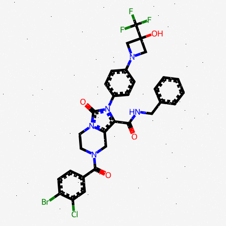 O=C(NCc1ccccc1)c1c2n(c(=O)n1-c1ccc(N3CC(O)(C(F)(F)F)C3)cc1)CCN(C(=O)c1ccc(Br)c(Cl)c1)C2